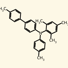 Cc1ccc(-c2ccc(N(c3ccc(C)cc3)c3c(C)cc(C)cc3C)cc2)cc1